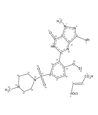 CCCCCCCCC=CC(=O)O.CCCc1nn(C)c2c(=O)[nH]c(-c3cc(S(=O)(=O)N4CCN(C)CC4)ccc3OCC)nc12